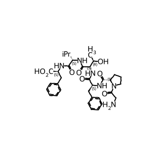 CC(C)[C@H](NC(=O)[C@@H](NC(=O)[C@H](Cc1ccccc1)NC(=O)[C@@H]1CCCN1C(=O)CN)[C@@H](C)O)C(=O)N[C@@H](Cc1ccccc1)C(=O)O